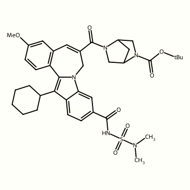 COc1ccc2c(c1)C=C(C(=O)N1CC3CC1CN3C(=O)OC(C)(C)C)Cn1c-2c(C2CCCCC2)c2ccc(C(=O)NS(=O)(=O)N(C)C)cc21